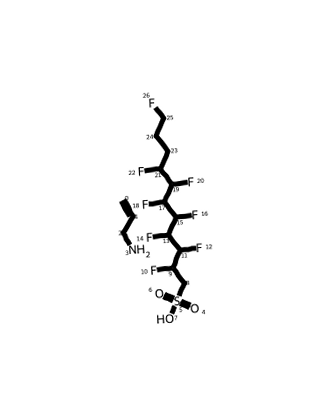 C=CCN.O=S(=O)(O)CC(F)C(F)C(F)C(F)C(F)C(F)C(F)CCCF